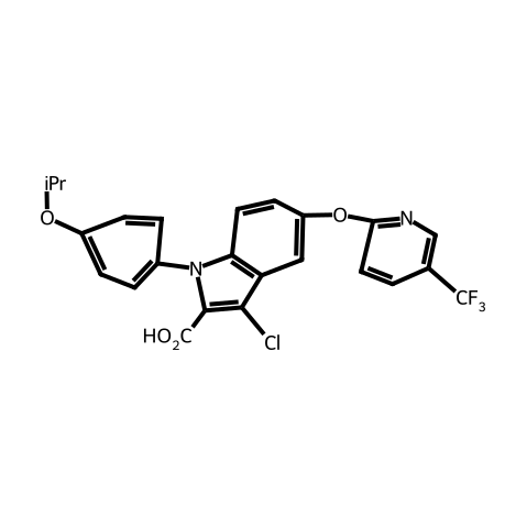 CC(C)Oc1ccc(-n2c(C(=O)O)c(Cl)c3cc(Oc4ccc(C(F)(F)F)cn4)ccc32)cc1